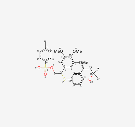 COc1cc(C(COS(=O)(=O)c2ccc(C)cc2)Sc2ccc3c(c2)C=CC(C)(C)O3)cc(OC)c1OC